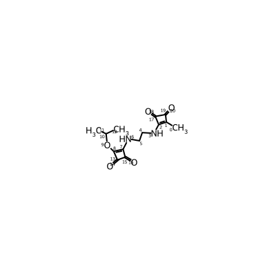 Cc1c(NCCNc2c(OC(C)C)c(=O)c2=O)c(=O)c1=O